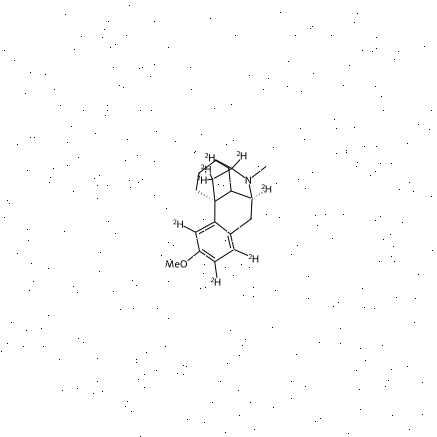 [2H]c1c([2H])c(OC)c([2H])c2c1C[C@@]1([2H])C3CCCC[C@@]23C([2H])([2H])C([2H])([2H])N1C